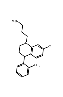 CNCCCN1CCC(c2ccccc2C)c2ccc(Cl)cc21